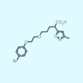 Cc1cc(C(CCCOCCOc2ccc(Br)cc2)C(=O)O)on1